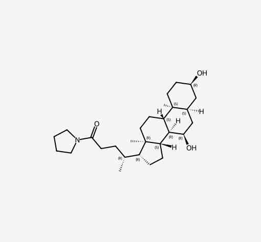 C[C@H](CCC(=O)N1CCCC1)[C@H]1CC[C@H]2[C@@H]3[C@H](O)C[C@@H]4C[C@H](O)CC[C@]4(C)[C@H]3CC[C@]12C